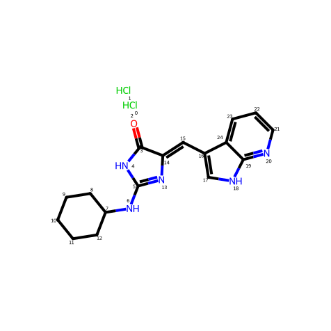 Cl.Cl.O=C1NC(NC2CCCCC2)=NC1=Cc1c[nH]c2ncccc12